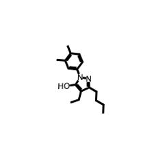 CCCCc1nn(-c2ccc(C)c(C)c2)c(O)c1CC